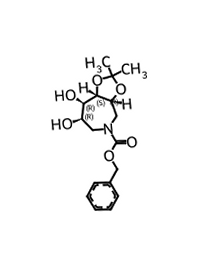 CC1(C)O[C@H]2[C@H](O)[C@H](O)CN(C(=O)OCc3ccccc3)C[C@H]2O1